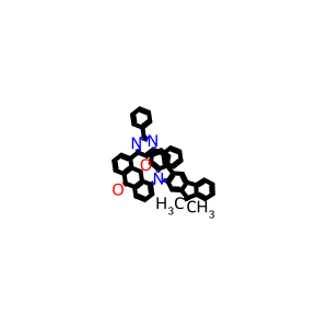 CC1(C)c2ccccc2-c2cc3c4ccccc4n(-c4cccc5c4C(=O)c4c(cccc4-c4cc(-c6ccccc6)nc(-c6ccccc6)n4)C5=O)c3cc21